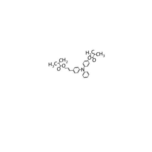 C=C(C)C(=O)OCC=Cc1ccc(N(c2ccccc2)c2ccc(OC(=O)C(=C)C)cc2)cc1